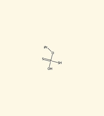 CC(C)OP(O)(=S)S